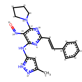 Cc1cc(Nc2nc(/C=C/c3ccccc3)nc(N3CCCC3)c2N=O)[nH]n1